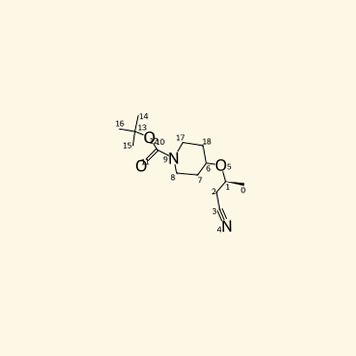 C[C@@H](CC#N)OC1CCN(C(=O)OC(C)(C)C)CC1